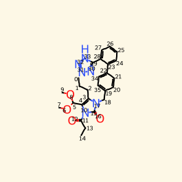 CCCc1c(C(OC)OC)n(C(=O)CC)c(=O)n1Cc1ccc(-c2ccccc2-c2nnn[nH]2)cc1